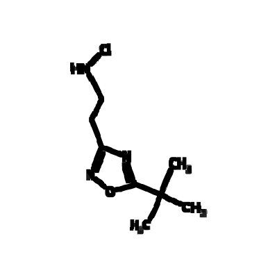 CC(C)(C)c1nc(CCNCl)no1